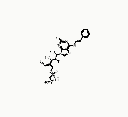 CC/C=C(/COP(=O)(O)CP(=O)(O)O)[C@@H](O)[C@H](F)[C@@H](O)n1cnc2c(NCCc3ccccc3)nc(Cl)nc21